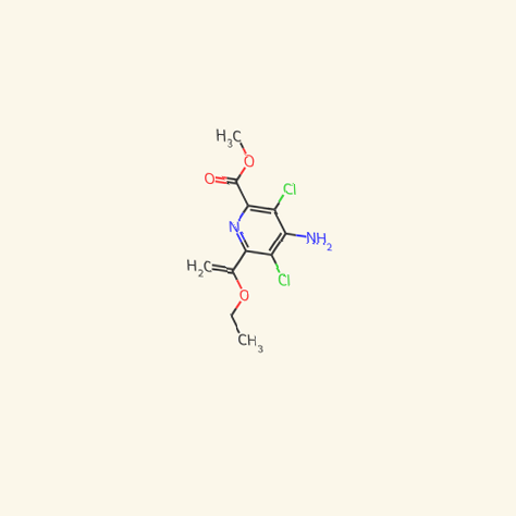 C=C(OCC)c1nc(C(=O)OC)c(Cl)c(N)c1Cl